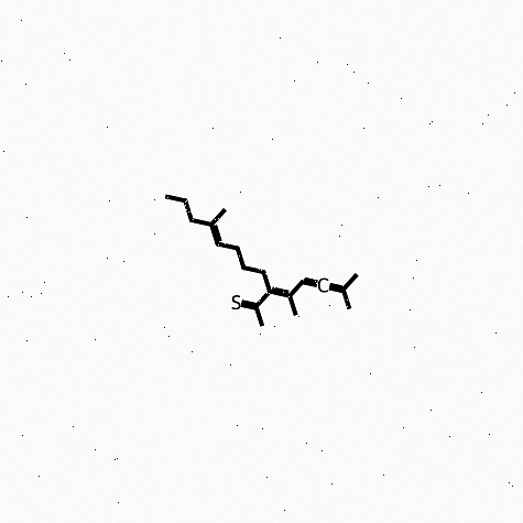 CCC/C(C)=C/CCC/C(C(C)=S)=C(/C)C=C=C(C)C